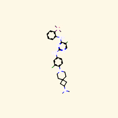 CN(C)C1CC2(CCN(c3ccc(Nc4ncc(Cl)c(Nc5ccccc5P(C)(C)=O)n4)cc3Cl)CC2)C1